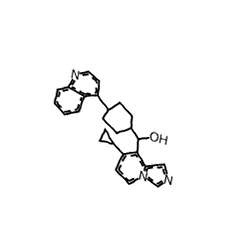 OC(c1c(C2CC2)ccn2cncc12)C1CCC(c2ccnc3ccccc23)CC1